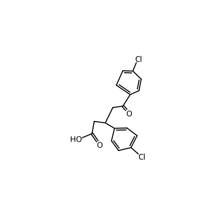 O=C(O)CC(CC(=O)c1ccc(Cl)cc1)c1ccc(Cl)cc1